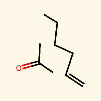 C=CCCCC.CC(C)=O